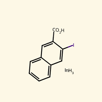 O=C(O)c1cc2ccccc2cc1I.[InH3]